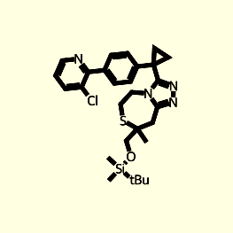 CC1(CO[Si](C)(C)C(C)(C)C)Cc2nnc(C3(c4ccc(-c5ncccc5Cl)cc4)CC3)n2CCS1